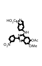 COc1cc2nc(-c3cccc([N+](=O)[O-])c3)nc(Nc3ccc4c(cnn4C(=O)O)c3)c2cc1OC(C)=O